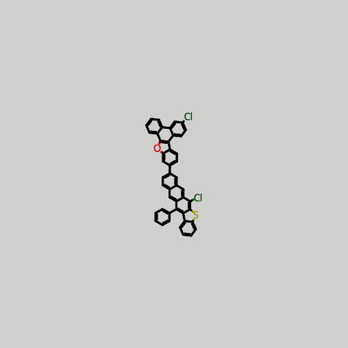 Clc1ccc2c(c1)c1ccccc1c1oc3cc(-c4ccc5cc6c(-c7ccccc7)c7c(sc8ccccc87)c(Cl)c6cc5c4)ccc3c21